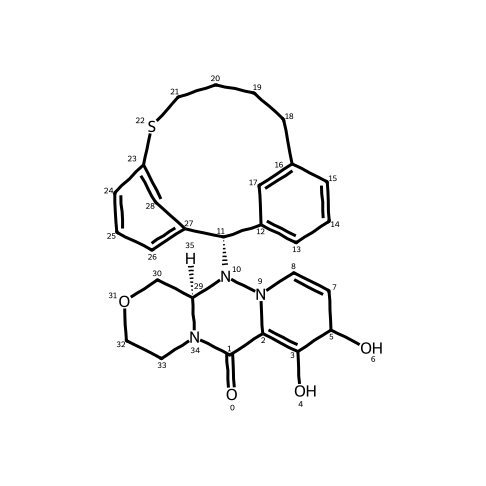 O=C1C2=C(O)C(O)C=CN2N([C@H]2c3cccc(c3)CCCCSc3cccc2c3)[C@@H]2COCCN12